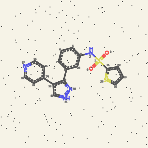 O=S(=O)(Nc1cccc(-c2n[nH]cc2-c2ccncc2)c1)c1cccs1